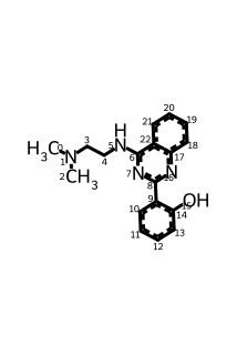 CN(C)CCNc1nc(-c2ccccc2O)nc2ccccc12